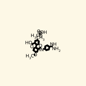 COc1ccc(-c2ccc(C)cc2C(=O)O)c(C(=O)Nc2ccc(C(=N)N)cc2)c1.CS(=O)(=O)O